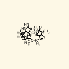 Cn1c(=O)c2c(ncn2C)n(C)c1=O.N=C1N[C@H](O)[C@H]2[C@H]3O[C@]4(O)O[C@@H](C(O)[C@@]2(N1)[C@@H]4O)[C@]3(O)CO